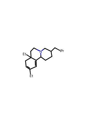 CCC1=CCC2(CC)CCN3CC(CC(C)C)CCC3C2=C1